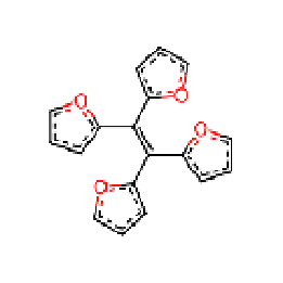 c1coc(C(=C(c2ccco2)c2ccco2)c2ccco2)c1